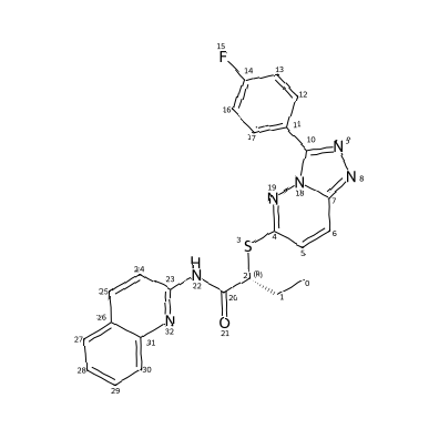 CC[C@@H](Sc1ccc2nnc(-c3ccc(F)cc3)n2n1)C(=O)Nc1ccc2ccccc2n1